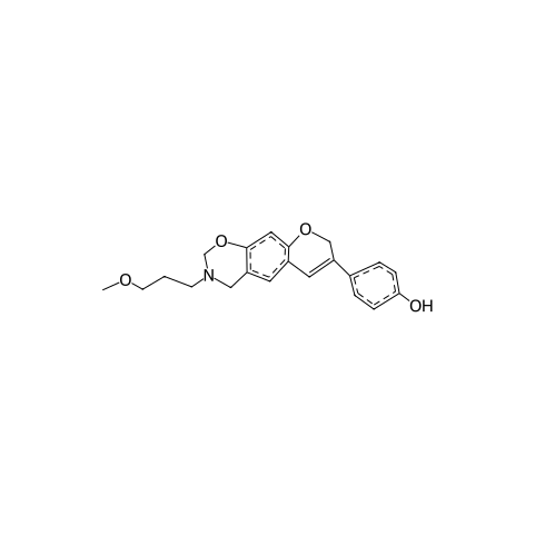 COCCCN1COc2cc3c(cc2C1)C=C(c1ccc(O)cc1)CO3